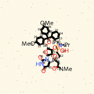 CNC(=O)CCO[C@@H]1[C@H](O[PH](O)(CCC#N)N(C(C)C)C(C)C)[C@@H](COC(c2ccccc2)(c2ccc(OC)cc2)c2ccc(OC)cc2)O[C@H]1n1ccc(=O)[nH]c1=O